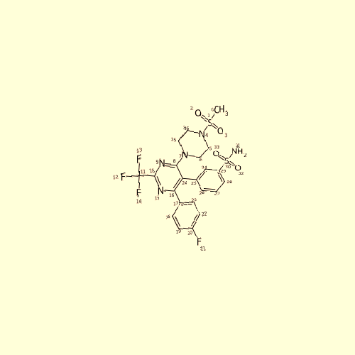 CS(=O)(=O)N1CCN(c2nc(C(F)(F)F)nc(-c3ccc(F)cc3)c2-c2cccc(S(N)(=O)=O)c2)CC1